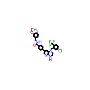 COc1cccc(CNC(=O)c2ccc(-c3cnc4c(c3)N(Cc3cc(Cl)ccc3C(F)(F)F)CCN4)cc2)c1